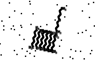 CCCCCCC.CCCCCCC.CCCCCCC.CCCCCCC.CCCCCCC.CCCCCCC.CCCCOCCCC